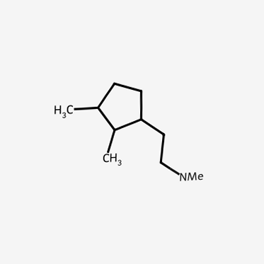 CNCCC1CCC(C)C1C